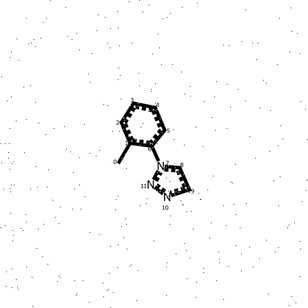 Cc1ccccc1-n1c[c]nn1